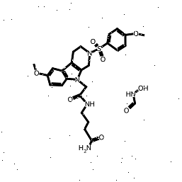 COc1ccc(S(=O)(=O)N2CCc3c(n(CC(=O)NCCCC(N)=O)c4ccc(OC)cc34)C2)cc1.O=CNO